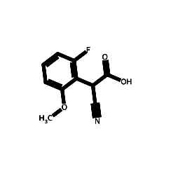 COc1cccc(F)c1C(C#N)C(=O)O